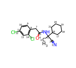 CC(C#N)(NC(=O)Cc1ccc(Cl)cc1Cl)C1CCCCC1